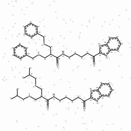 CC(C)CSCC(CSCC(C)C)C(=O)NCCCCC(=O)c1nc2ccccc2o1.O=C(CCCCNC(=O)C(CSCc1ccccc1)CSCc1ccccc1)c1nc2ccccc2o1